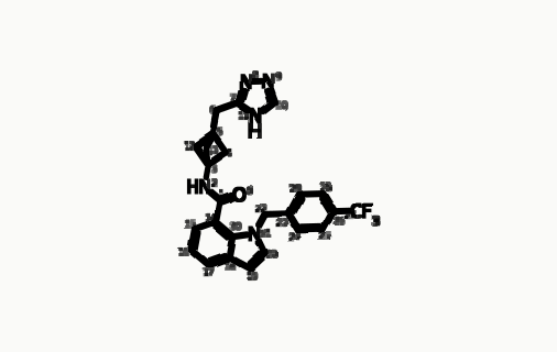 O=C(NC12CC(Cc3nnc[nH]3)(C1)C2)c1cccc2ccn(Cc3ccc(C(F)(F)F)cc3)c12